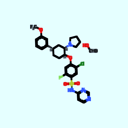 O=CO.O=S(=O)(Nc1ccncn1)c1cc(Cl)c(O[C@H]2CC[C@H](c3cccc(OC(F)(F)F)c3)C[C@@H]2N2CCCC2)cc1F